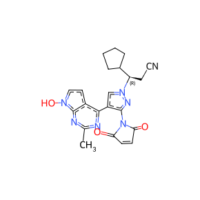 Cc1nc(-c2cn([C@H](CC#N)C3CCCC3)nc2N2C(=O)C=CC2=O)c2ccn(O)c2n1